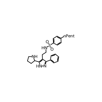 CCCCCc1ccc(S(=O)(=O)NCCc2c(-c3ccccc3)n[nH]c2C2CCCN2)cc1